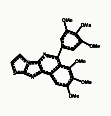 COc1cc(-c2nc3c(nc4sccn43)c3cc(OC)c(OC)c(OC)c23)cc(OC)c1OC